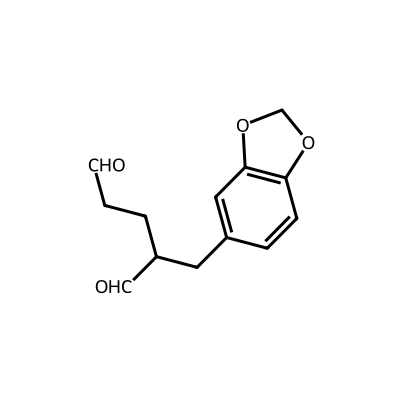 O=CCCC(C=O)Cc1ccc2c(c1)OCO2